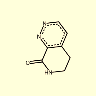 O=C1NCCc2ccnnc21